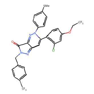 CSc1ccc(-n2nc3c(=O)n(Cc4ccc(C(F)(F)F)cc4)nc-3cc2-c2ccc(OCC(F)(F)F)cc2Cl)cc1